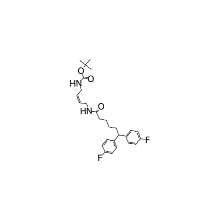 CC(C)(C)OC(=O)NC/C=C\CNC(=O)CCCCC(c1ccc(F)cc1)c1ccc(F)cc1